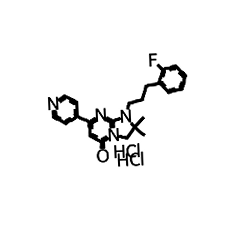 CC1(C)Cn2c(nc(-c3ccncc3)cc2=O)N1CCCc1ccccc1F.Cl.Cl